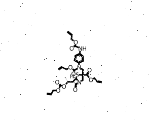 C=CCOC(=O)Nc1ccc(N(CC2(C(=O)OCC=C)CN3C(=O)[C@H]([C@@H](C)OC(=O)OCC=C)[C@H]3S2)C(=O)OCC=C)cc1